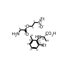 CC[S+]([O-])CCOC(=O)CN.CCc1cccc(C)c1N[C@@H](C)C(=O)O